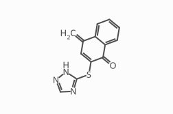 C=C1C=C(Sc2ncn[nH]2)C(=O)c2ccccc21